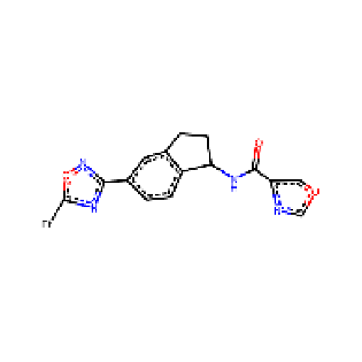 CCc1nc(-c2ccc3c(c2)CCC3NC(=O)c2cocn2)no1